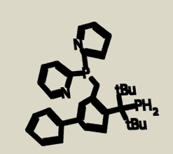 CC(C)(C)C(P)(c1ccc(-c2ccccc2)cc1CP(c1ccccn1)c1ccccn1)C(C)(C)C